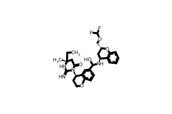 CC[C@]1(C)CC(=O)N([C@@H]2CCOc3ccc(C(O)N[C@H]4C[C@H](COC(F)F)Oc5ccccc54)cc32)C(=N)N1